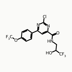 O=C(NCC(O)C(F)(F)F)c1cc(-c2ccc(OC(F)(F)F)cc2)nc(Cl)n1